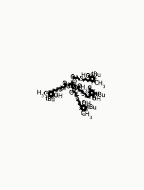 Cc1cc(CCCSCCC(=O)OCC(COC(=O)CCSCCCc2cc(C)cc(C(C)(C)C)c2O)(COC(=O)CCSCCCc2cc(C)cc(C(C)(C)C)c2O)COC(=O)CCSCCCc2cc(C)cc(C(C)(C)C)c2O)c(O)c(C(C)(C)C)c1